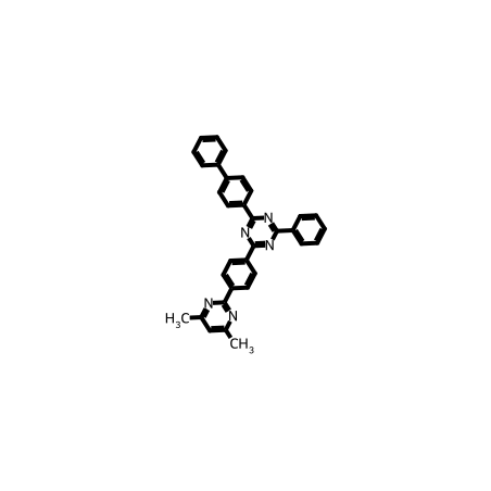 Cc1cc(C)nc(-c2ccc(-c3nc(-c4ccccc4)nc(-c4ccc(-c5ccccc5)cc4)n3)cc2)n1